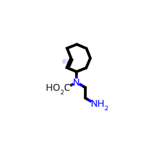 NCCN(C(=O)O)C1/C=C/CCCCC1